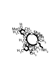 CC[C@H]1OC(=O)[C@H](C)[C@@H](O[C@H]2C[C@@](C)(OC)[C@@H](O)[C@H](C)O2)C(C)[C@@H](O[C@@H]2O[C@H](C)C[C@H](N(C)C)[C@H]2O)[C@](C)(O)C[C@@H](C)CN(CCCN)[C@H](C)[C@@H](O)[C@]1(C)O